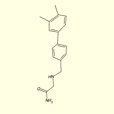 Cc1ccc(-c2ccc(CNCC(N)=O)cc2)cc1C